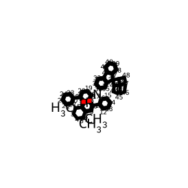 CC1(C)CCC(C)(C)c2cc(-c3ccccc3N(c3ccc(-c4ccccc4)cc3)c3ccc4c(c3)C3(c5ccccc5-4)C4CC5CC6CC3C64C5)ccc21